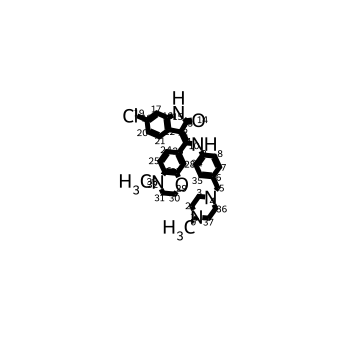 CN1CCN(Cc2ccc(N/C(=C3\C(=O)Nc4cc(Cl)ccc43)c3ccc4c(c3)OCCN4C)cc2)CC1